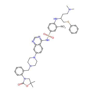 CN(C)CCC(CSc1ccccc1)Nc1ccc(S(=O)(=O)Nc2ncnc3cc(N4CCN(Cc5ccccc5N5CC(C)(C)OC5=O)CC4)ccc23)cc1[N+](=O)[O-]